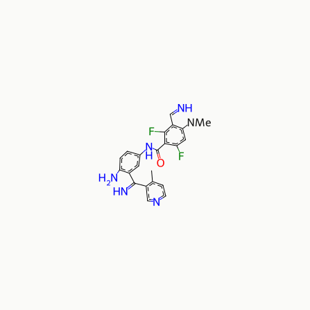 CNc1cc(F)c(C(=O)Nc2ccc(N)c(C(=N)c3cnccc3C)c2)c(F)c1C=N